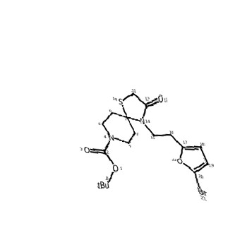 CC(C)(C)OC(=O)N1CCC2(CC1)SCC(=O)N2CCc1ccc(Br)o1